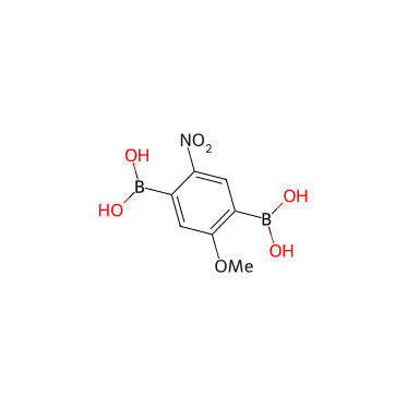 COc1cc(B(O)O)c([N+](=O)[O-])cc1B(O)O